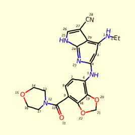 CCNc1cc(Nc2ccc(C(=O)N3CCOCC3)c3c2OCO3)nc2[nH]cc(C#N)c12